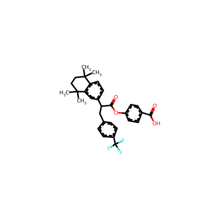 CC1(C)CCC(C)(C)c2cc(C(Cc3ccc(C(F)(F)F)cc3)C(=O)Oc3ccc(C(=O)O)cc3)ccc21